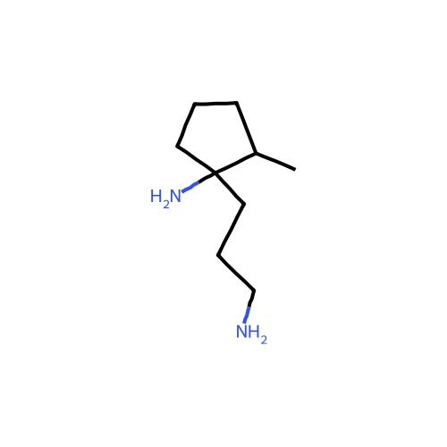 CC1CCCC1(N)CCCN